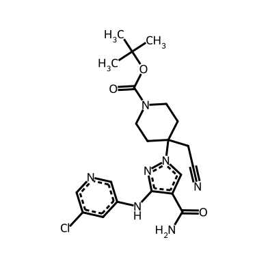 CC(C)(C)OC(=O)N1CCC(CC#N)(n2cc(C(N)=O)c(Nc3cncc(Cl)c3)n2)CC1